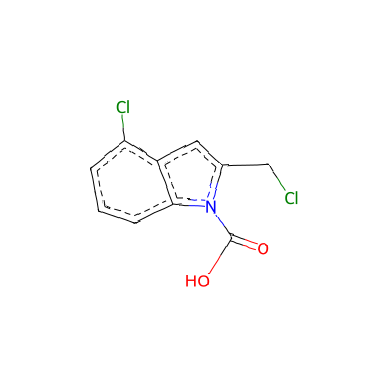 O=C(O)n1c(CCl)cc2c(Cl)cccc21